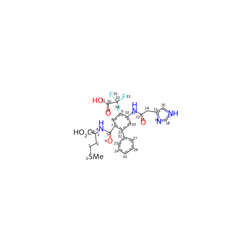 CSCC[C@H](NC(=O)c1ccc(NC(=O)Cc2c[nH]cn2)cc1-c1ccccc1)C(=O)O.O=C(O)C(F)(F)F